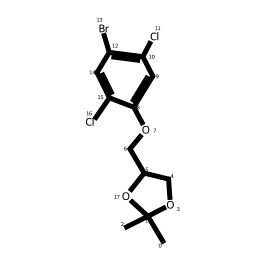 CC1(C)OCC(COc2cc(Cl)c(Br)cc2Cl)O1